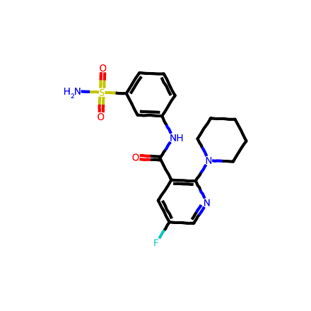 NS(=O)(=O)c1cccc(NC(=O)c2cc(F)cnc2N2CCCCC2)c1